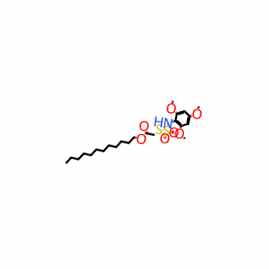 CCCCCCCCCCCCOC(=O)CSS(=O)(=O)Nc1c(OC)cc(OC)cc1OC